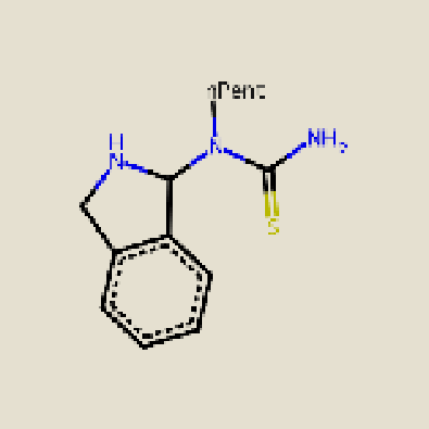 CCCCCN(C(N)=S)C1NCc2ccccc21